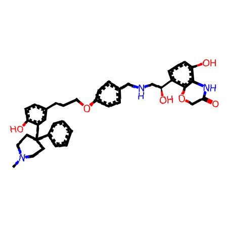 CN1CCC(c2ccccc2)(c2cc(CCCOc3ccc(CNC[C@H](O)c4ccc(O)c5c4OCC(=O)N5)cc3)ccc2O)CC1